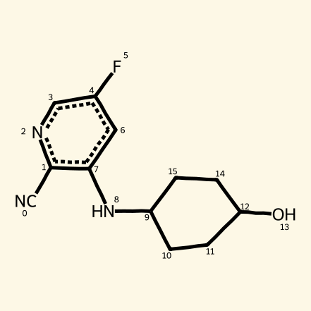 N#Cc1ncc(F)cc1NC1CCC(O)CC1